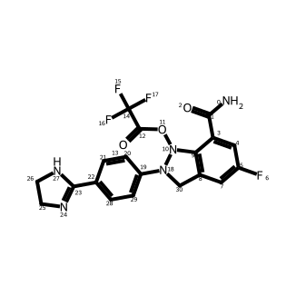 NC(=O)c1cc(F)cc2c1N(OC(=O)C(F)(F)F)N(c1ccc(C3=NCCN3)cc1)C2